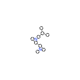 c1ccc(-c2cc(-c3ccccc3)cc(-c3ccc(-n4c5ccccc5c5ccc(-c6ccc7c8ccccc8n(-c8ccccc8)c7c6)cc54)cc3)c2)cc1